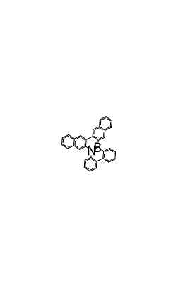 c1ccc2c(c1)B1c3cc4ccccc4cc3-c3cc4ccccc4cc3N1c1ccccc1-2